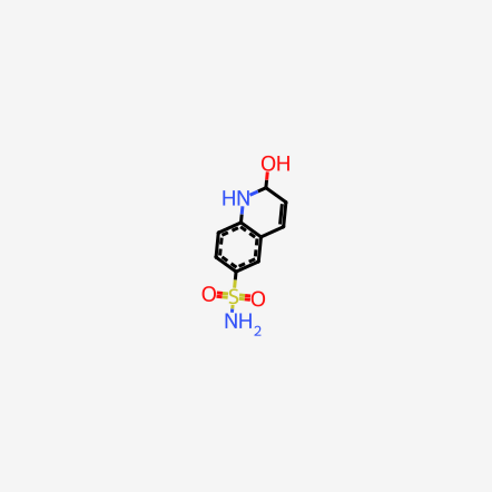 NS(=O)(=O)c1ccc2c(c1)C=CC(O)N2